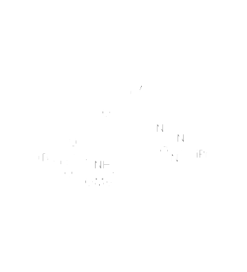 COC(=O)C(N)(C(=O)OC(C)(C)C)c1ccc(OCC[C@@H](C)C2CCN(c3nc(C(C)C)no3)CC2)cc1C